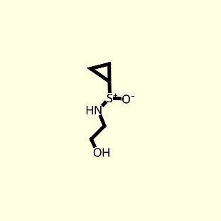 [O-][S+](NCCO)C1CC1